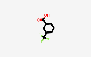 O=C(O)C1CCC=C(C(F)(F)F)C1